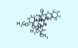 COc1ccc(CNC(=O)C(Cc2ccccc2)NC(N)=NC(=O)CC(C)C)cc1OC